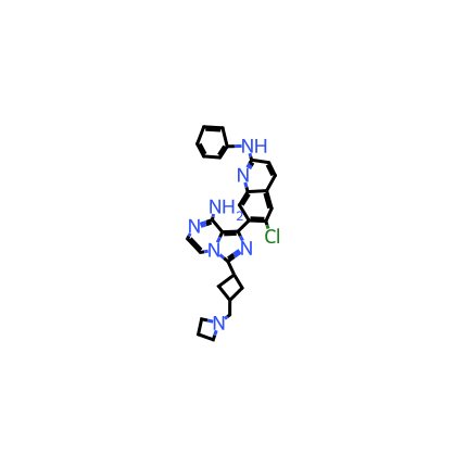 Nc1nccn2c(C3CC(CN4CCC4)C3)nc(-c3cc4nc(Nc5ccccc5)ccc4cc3Cl)c12